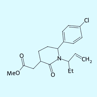 C=CC(CC)N1C(=O)C(CC(=O)OC)CCC1c1ccc(Cl)cc1